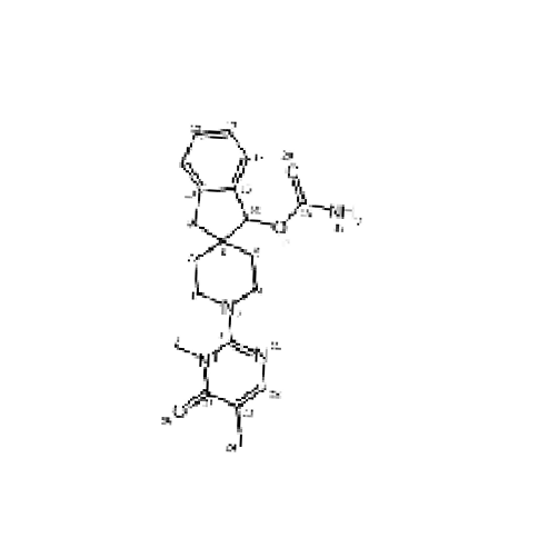 Cn1c(N2CCC3(CC2)Cc2ccccc2C3OC(N)=O)ncc(I)c1=O